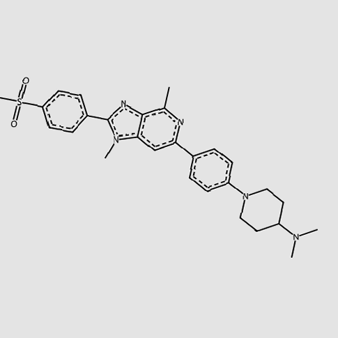 Cc1nc(-c2ccc(N3CCC(N(C)C)CC3)cc2)cc2c1nc(-c1ccc(S(C)(=O)=O)cc1)n2C